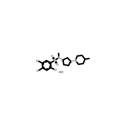 CC1CCN([C@@H]2CC[C@H](N(C)S(=O)(=O)c3cc(Cl)c(Cl)cc3Cl)C2)CC1.Cl